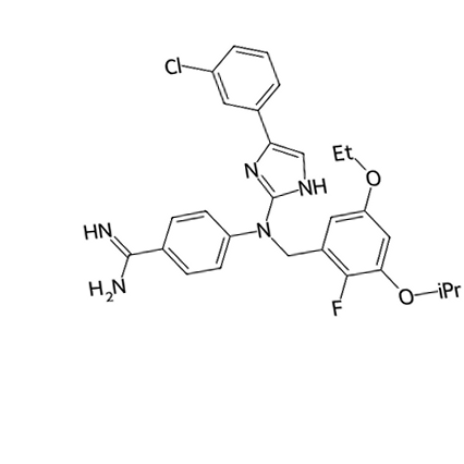 CCOc1cc(CN(c2ccc(C(=N)N)cc2)c2nc(-c3cccc(Cl)c3)c[nH]2)c(F)c(OC(C)C)c1